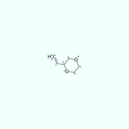 C=CC1COCCO1